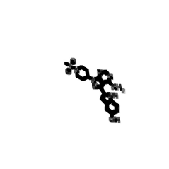 CS(=O)(=O)N1CCC(n2nc(-c3cc4cc(O)ccc4[nH]3)c3c(N)ncnc32)CC1